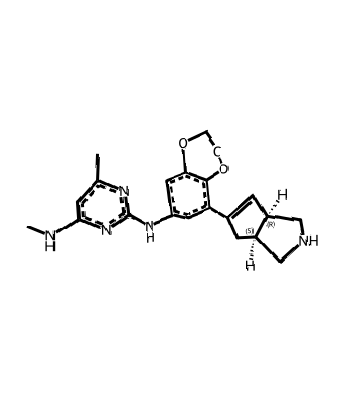 CNc1cc(C)nc(Nc2cc3c(c(C4=C[C@H]5CNC[C@H]5C4)c2)OCCO3)n1